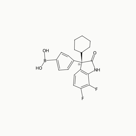 O=C1Nc2c(ccc(F)c2F)[C@@]1(c1ccc(B(O)O)cc1)C1CCCCC1